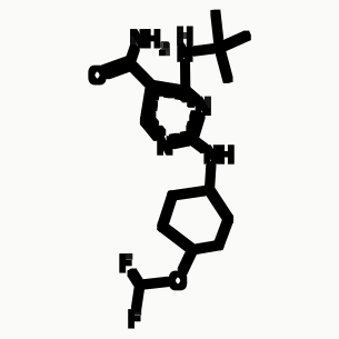 CC(C)(C)Nc1nc(NC2CCC(OC(F)F)CC2)ncc1C(N)=O